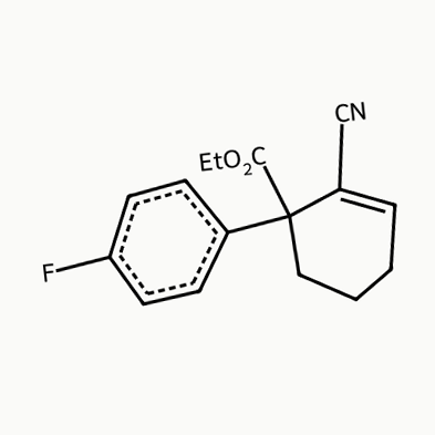 CCOC(=O)C1(c2ccc(F)cc2)CCCC=C1C#N